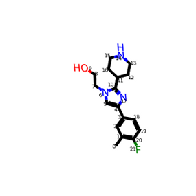 Cc1cc(-c2cn(CCO)c(C3CCNCC3)n2)ccc1F